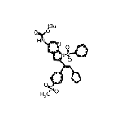 CC(C)(C)OC(=O)Nc1cnc2c(c1)cc(C(=CC1CCCC1)c1ccc(S(C)(=O)=O)cc1)n2S(=O)(=O)c1ccccc1